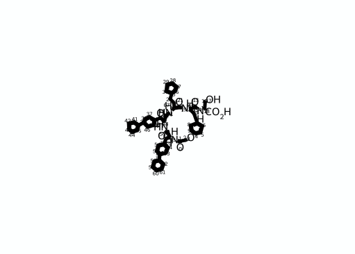 O=C1COc2ccc(cc2)C[C@@H](C(=O)N[C@H](CO)C(=O)O)NC(=O)[C@H](CCc2ccccc2)NC(=O)[C@@H](Cc2ccc(-c3ccccc3)cc2)NC(=O)[C@H](Cc2ccc(-c3ccccc3)cc2)N1